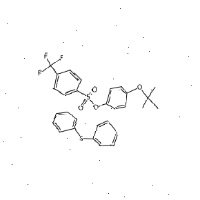 CC(C)(C)Oc1ccc(OS(=O)(=O)c2ccc(C(F)(F)F)cc2)cc1.c1ccc(Sc2ccccc2)cc1